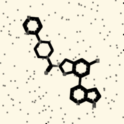 O=C([C@@H]1Cc2cc(Cl)cc(-c3ccnc4[nH]ccc34)c2O1)N1CCN(c2ccncn2)CC1